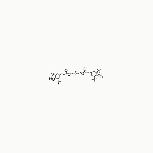 CC(C)(C)C1CC(CCC(=O)OCCSCCOC(=O)CCC2CC(C(C)(C)C)C(O)[C@H](C(C)(C)C)C2)CC(C(C)(C)C)C1O